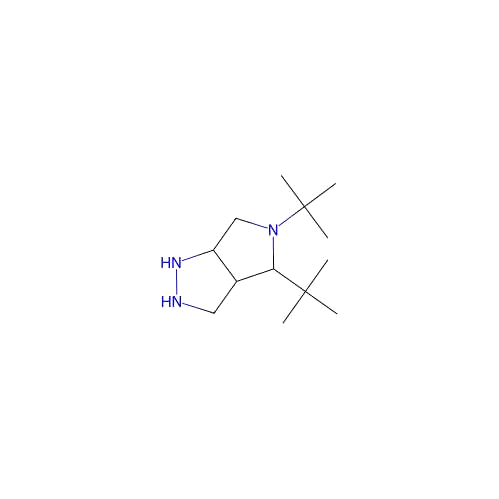 CC(C)(C)C1C2CNNC2CN1C(C)(C)C